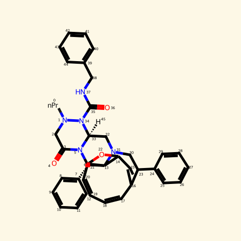 CCCN1CC(=O)N2[C@@H](c3ccccc3)C34C5C=C(/C=C\C=C/C3O5)C(c3ccccc3)CN4C[C@@H]2N1C(=O)NCc1ccccc1